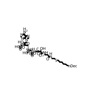 CCCCCCCCCCCCCCCCSCCNC(=O)CCNC(=O)[C@H](O)C(C)(C)COP(=O)(O)OP(=O)(O)OC[C@H]1O[C@@H](n2cnc3c(N)ncnc32)[C@H](O)[C@@H]1OP(=O)(O)O